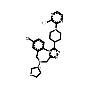 Cc1nccnc1N1CCC(c2nnc3n2-c2ccc(Cl)cc2CN([C@H]2CCOC2)C3)CC1